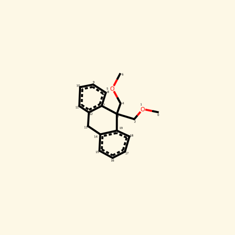 COCC1(COC)c2ccccc2Cc2ccccc21